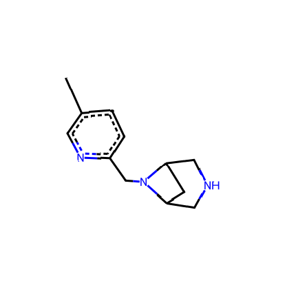 Cc1ccc(CN2C3CNCC2C3)nc1